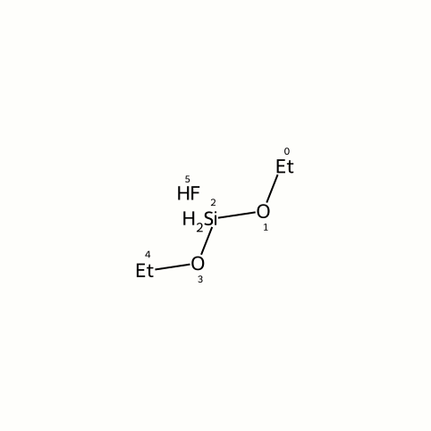 CCO[SiH2]OCC.F